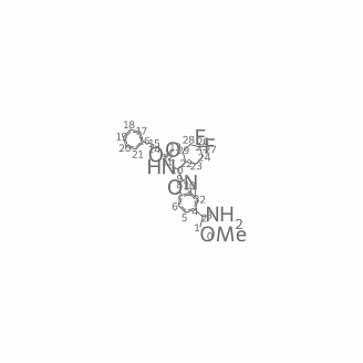 COCC(N)c1ccc2oc([C@@H](NC(=O)OCc3ccccc3)C3CCC(F)(F)CC3)nc2c1